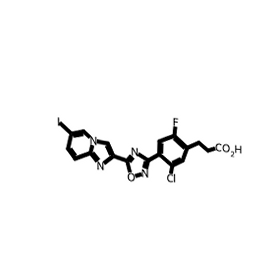 O=C(O)CCc1cc(Cl)c(-c2noc(-c3cn4cc(I)ccc4n3)n2)cc1F